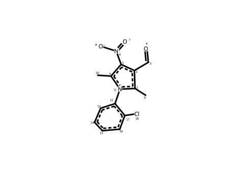 Cc1c(C=O)c([N+](=O)[O-])c(C)n1-c1ccccc1Cl